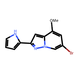 COc1cc(Br)cn2nc(-c3ccc[nH]3)cc12